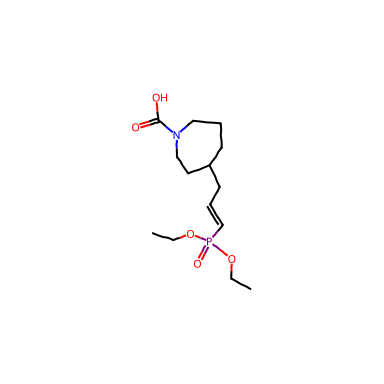 CCOP(=O)(C=CCC1CCCN(C(=O)O)CC1)OCC